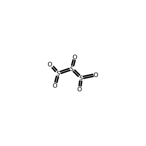 O=S(=O)=S(=O)=S(=O)=O